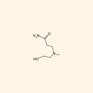 CN(CCO)CCC(N)=O